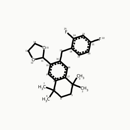 CC1(C)CCC(C)(C)c2cc(C3OCCO3)c(Cc3ccc(F)cc3F)cc21